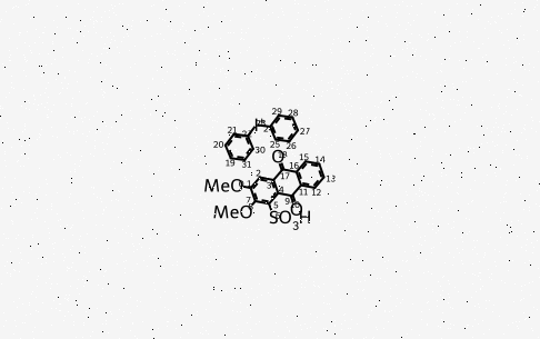 COc1cc2c(c(S(=O)(=O)O)c1OC)C(=O)c1ccccc1C2=O.c1ccc([I+]c2ccccc2)cc1